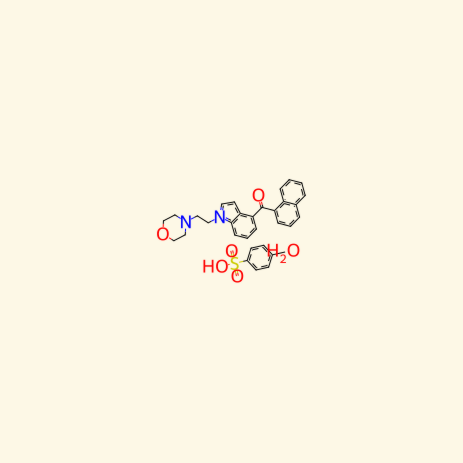 Cc1ccc(S(=O)(=O)O)cc1.O.O=C(c1cccc2ccccc12)c1cccc2c1ccn2CCN1CCOCC1